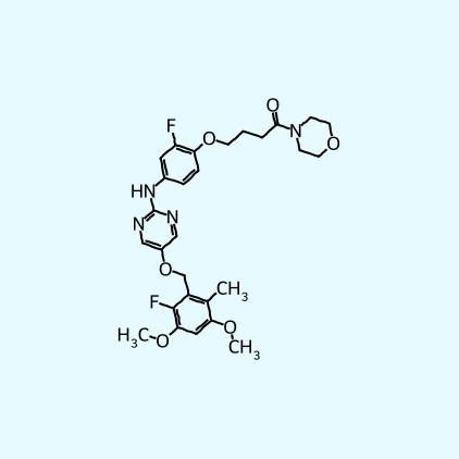 COc1cc(OC)c(F)c(COc2cnc(Nc3ccc(OCCCC(=O)N4CCOCC4)c(F)c3)nc2)c1C